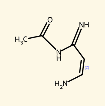 CC(=O)NC(=N)/C=C\N